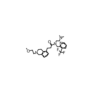 COCCN1CCc2c(CCC(=O)N(CCN(C)C)Cc3ncccc3C(F)(F)F)cccc2C1